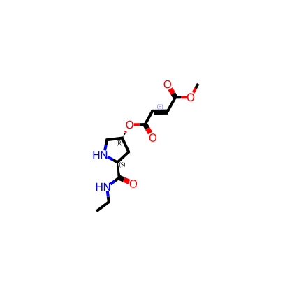 CCNC(=O)[C@@H]1C[C@@H](OC(=O)/C=C/C(=O)OC)CN1